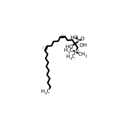 CCCCCCCCCC/C=C\CCC/C=C\CCC(O)(C[N+](C)(C)C)P(=O)(O)O